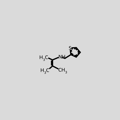 CC(C)=C(C)NCc1cccs1